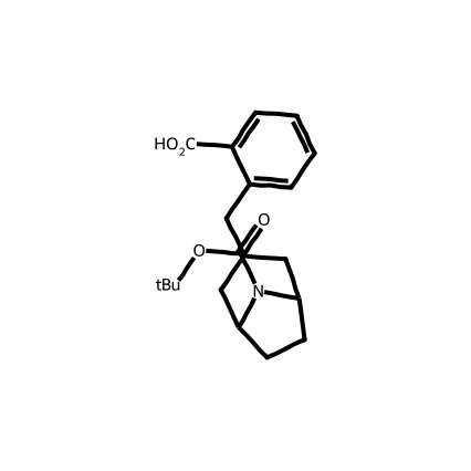 CC(C)(C)OC(=O)N1C2CCC1CC(Cc1ccccc1C(=O)O)C2